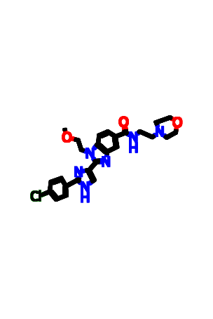 COCCn1c(-c2c[nH]c(-c3ccc(Cl)cc3)n2)nc2cc(C(=O)NCCN3CCOCC3)ccc21